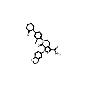 NC(=O)c1nn(-c2ccc3c(c2)CCO3)c2c1CCN(c1ccc(N3CCCCC3=O)cc1F)C2=O